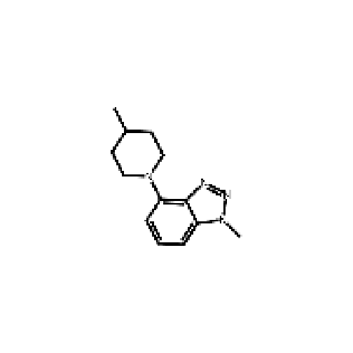 CC1CCN(c2cccc3c2nnn3C)CC1